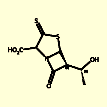 C[C@@H](O)[C@H]1C(=O)N2C(C(=O)O)C(=S)SC12